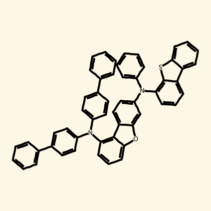 c1ccc(-c2ccc(N(c3ccc(-c4ccccc4)cc3)c3cccc4oc5cc(N(c6ccccc6)c6cccc7c6sc6ccccc67)ccc5c34)cc2)cc1